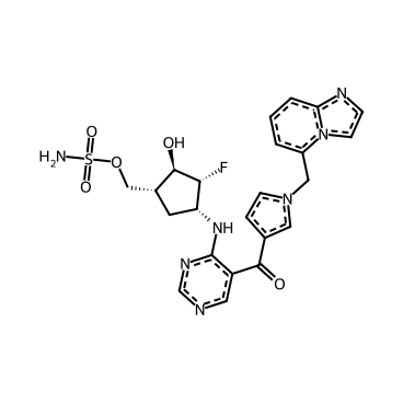 NS(=O)(=O)OC[C@H]1C[C@@H](Nc2ncncc2C(=O)c2ccn(Cc3cccc4nccn34)c2)[C@@H](F)[C@@H]1O